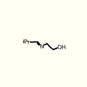 CC(C)/C=N/CCO